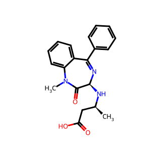 C[C@@H](CC(=O)O)N[C@@H]1N=C(c2ccccc2)c2ccccc2N(C)C1=O